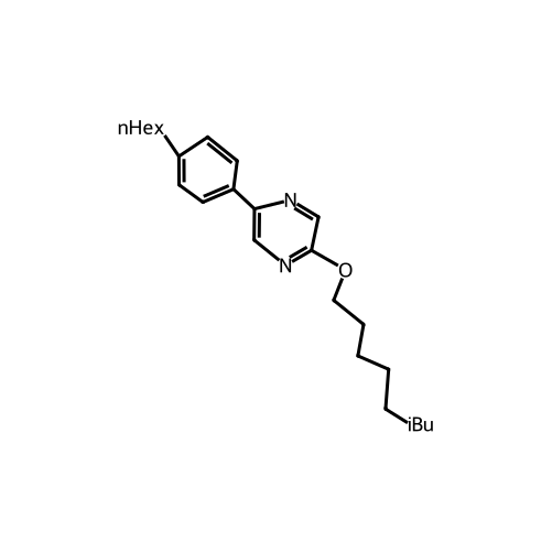 CCCCCCc1ccc(-c2cnc(OCCCCCC(C)CC)cn2)cc1